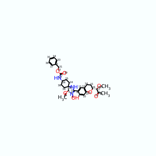 COC[C@]1(N/C(=N/O)c2ccc3c(c2)CC[C@H](C(OC)C(C)=O)O3)CC[C@@H](NC(=O)OCc2ccccc2)CC1